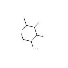 CNC1COC(C)C(N)C1O